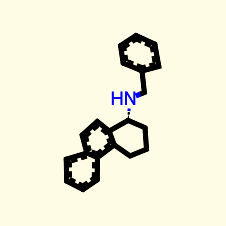 c1ccc(CN[C@@H]2CCCc3c2ccc2ccccc32)cc1